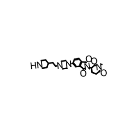 CN1C(=O)CCC(N2C(=O)c3ccc(N4CCN(CCC5CCNCC5)CC4)cc3C2=O)C1=O